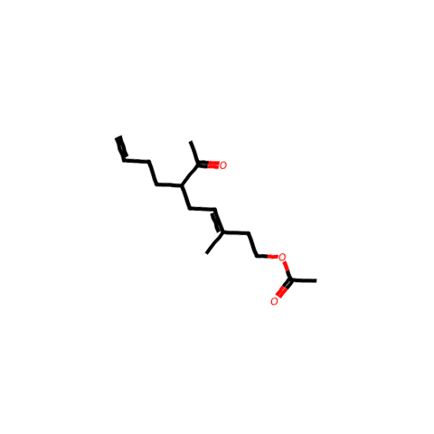 C=CCCC(C/C=C(\C)CCOC(C)=O)C(C)=O